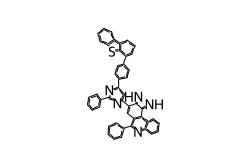 N=C1C(=N)c2c(c(-c3ccccc3)nc3ccccc23)C=C1c1cc(-c2ccc(-c3cccc4c3sc3ccccc34)cc2)nc(-c2ccccc2)n1